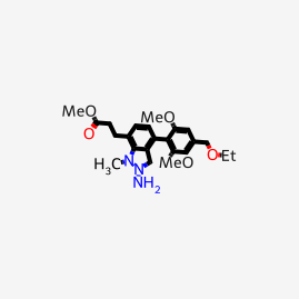 CCOCc1cc(OC)c(-c2ccc(CCC(=O)OC)c3c2CN(N)N3C)c(OC)c1